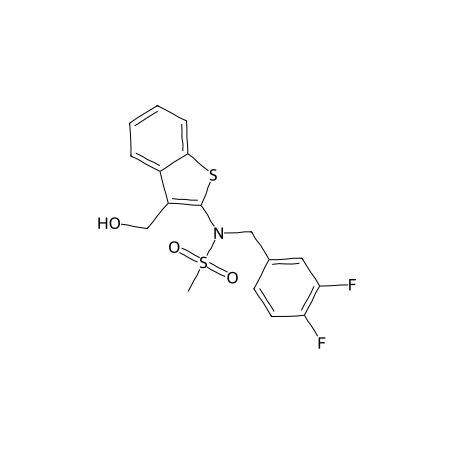 CS(=O)(=O)N(Cc1ccc(F)c(F)c1)c1sc2ccccc2c1CO